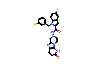 O=C1CCc2nc3n(c2N1)C=CN(NC(=O)c1cc2cc(F)ccc2n1Cc1cccc(F)c1)C3